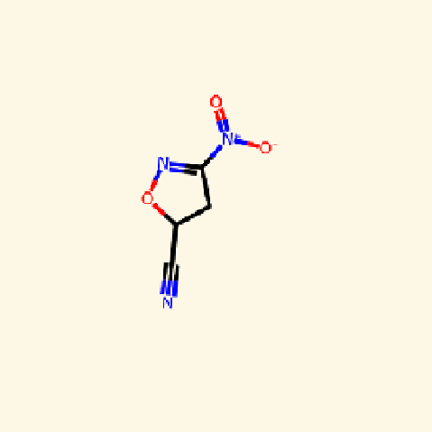 N#CC1CC([N+](=O)[O-])=NO1